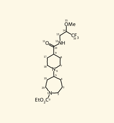 CCOC(=O)N1CCCC(N2CCC(C(=O)NCC(OC)C(F)(F)F)CC2)CC1